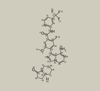 COc1cc(C(=O)Nc2cc(C(F)(F)F)ccn2)c(F)cc1-c1nc([C@@H]2CC[C@H]3CCC(=O)N3C2)n2ccnc(N)c12